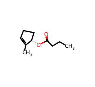 CCCC(=O)O[C@H]1CCC=C1C